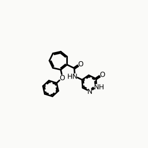 O=C(Nc1cn[nH]c(=O)c1)C1=C(Oc2ccccc2)C=CC=C=C1